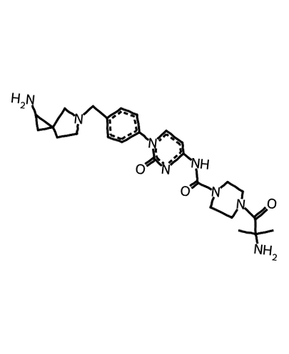 CC(C)(N)C(=O)N1CCN(C(=O)Nc2ccn(-c3ccc(CN4CCC5(CC5N)C4)cc3)c(=O)n2)CC1